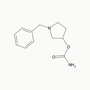 NC(=O)OC1CCN(Cc2ccccc2)C1